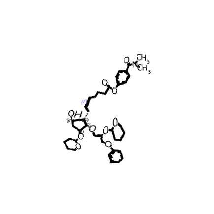 CN(C)C(=O)c1ccc(OC(=O)CCC/C=C\C[C@@H]2[C@H](OCC(COc3ccccc3)OC3CCCCO3)[C@@H](OC3CCCCO3)C[C@H]2O)cc1